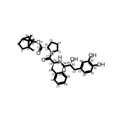 CC1(C)C2CCC1(C)C(OC(=O)[C@@H]1CCCN1C(=O)[C@H](Cc1ccccc1)NC(=O)[C@H](O)Cc1ccc(O)c(O)c1)C2